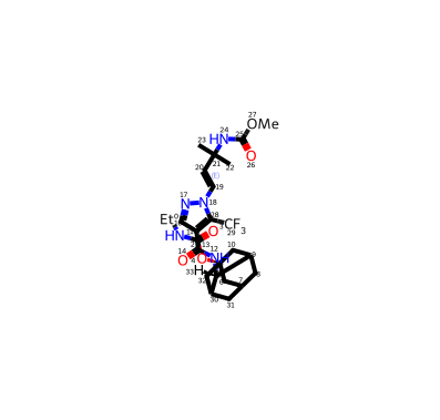 CCNC(=O)O[C@]12CC3CC(C1)[C@@H](NC(=O)c1cnn(/C=C/C(C)(C)NC(=O)OC)c1C(F)(F)F)C(C3)C2